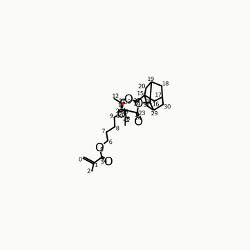 C=C(C)C(=O)OCCCCOC(C)OCC12CC3CC(C1)C(OC(=O)C(C)(F)F)C(C3)C2